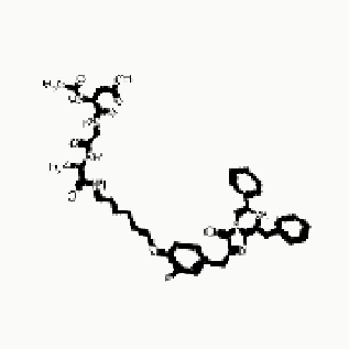 CC(=O)NC(CC(=O)O)C(=O)NCC(=O)NC(C)C(=O)NCCCCCCOc1ccc(Cc2nc3c(Cc4ccccc4)[nH]c(C4=CCCC=C4)cn-3c2=O)cc1F